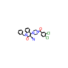 N#Cc1c(N2CCN(C(=O)c3ccc(Cl)c(Cl)c3)CC2)c2ccccc2n(Cc2ccccc2)c1=O